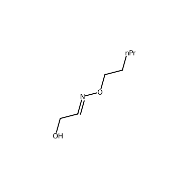 CCCCCON=CCO